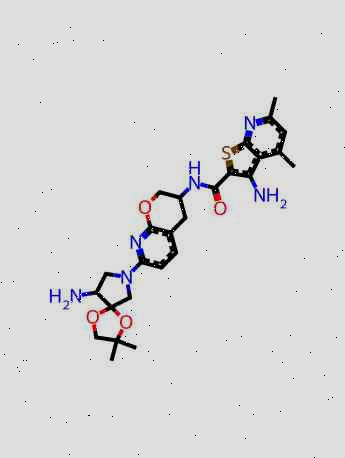 Cc1cc(C)c2c(N)c(C(=O)NC3COc4nc(N5CC(N)C6(C5)OCC(C)(C)O6)ccc4C3)sc2n1